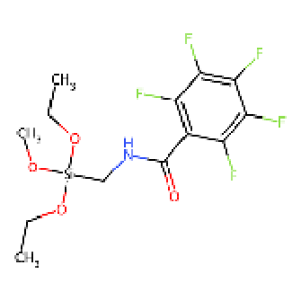 CCO[Si](CNC(=O)c1c(F)c(F)c(F)c(F)c1F)(OC)OCC